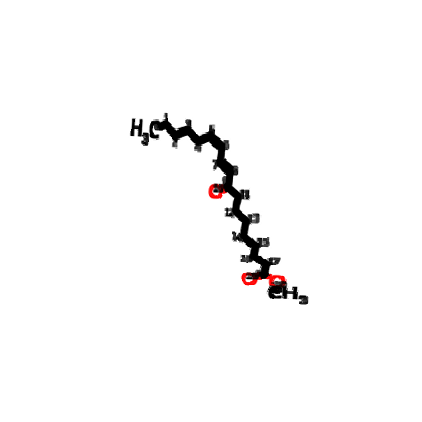 CCCCC/C=C\C=C\C(=O)CCCCCCCC(=O)OC